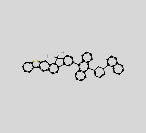 CC1(C)c2ccc(-c3c4ccccc4c(C4=CC=CC(c5cccc6ccccc56)C4)c4ccccc34)cc2-c2ccc3cc4c(cc3c21)sc1ccccc14